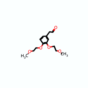 COCCOc1ccc(CC=O)cc1OCCOC